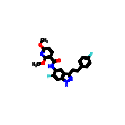 COc1ccc(C(=O)Nc2cc3c(/C=C/c4ccc(F)cc4)n[nH]c3cc2F)c(OC)n1